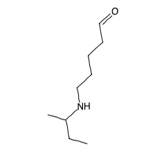 CCC(C)NCCCCC=O